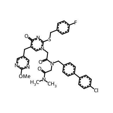 COc1ncc(Cc2cn(CC(=O)N(CC(=O)N(C)C)Cc3ccc(-c4ccc(Cl)cc4)cc3)c(SCc3ccc(F)cc3)nc2=O)cn1